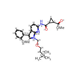 COC(=O)C1CC1C(=O)Nc1ccc2c(-c3ccccc3OC)cn(COCC[Si](C)(C)C)c2n1